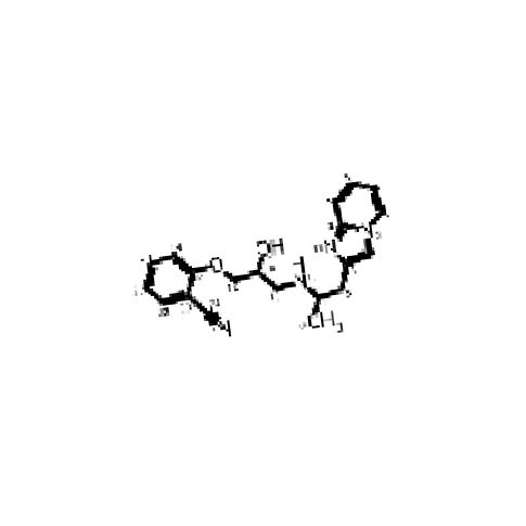 CC(Cc1cn2ccccc2n1)NCC(O)COc1ccccc1C#N